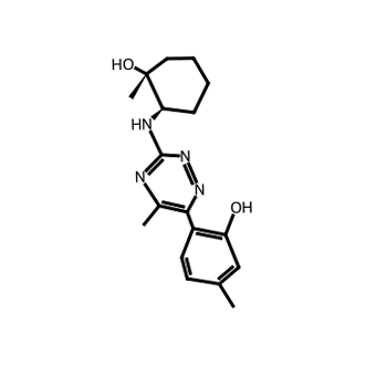 Cc1ccc(-c2nnc(N[C@@H]3CCCC[C@@]3(C)O)nc2C)c(O)c1